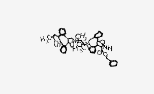 CC(C)CC1Cc2ccccc2C2ON(C(C)(C)CC(C)N3Cc4ccccc4C4ONC(C(=O)OCc5ccccc5)C4c4ccccc43)CC2c2ccccc21